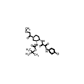 COCC(=O)N1CC[C@H](NC(=S)C(=O)Nc2ccc(Cl)cc2)[C@H](NC(=O)OC(C)(C)C)C1